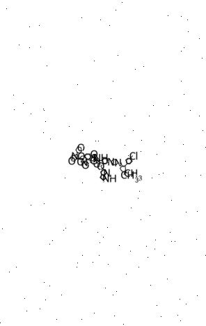 CC1(C)CCC(CN2CCN(c3ccc(C(=O)NS(=O)(=O)c4ccc(OCC5COCCN5C5CCOCC5)c([N+](=O)[O-])c4)c(Oc4cnc5[nH]ccc5c4)c3)CC2)=C(c2ccc(Cl)cc2)C1